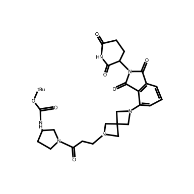 CC(C)(C)OC(=O)N[C@H]1CCN(C(=O)CCN2CC3(C2)CN(c2cccc4c2C(=O)N(C2CCC(=O)NC2=O)C4=O)C3)C1